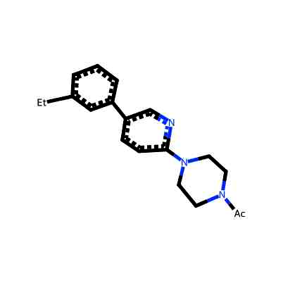 CCc1cccc(-c2ccc(N3CCN(C(C)=O)CC3)nc2)c1